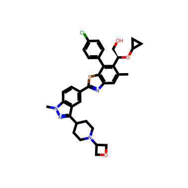 Cc1cc2nc(-c3ccc4c(c3)c(C3CCN(C5COC5)CC3)nn4C)sc2c(-c2ccc(Cl)cc2)c1[C@@H](CO)OC1CC1